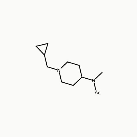 CC(=O)N(C)C1CCN(CC2CC2)CC1